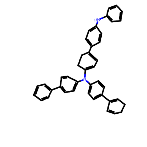 C1=CC(c2ccc(N(C3=CC=C(c4ccc(Nc5ccccc5)cc4)CC3)c3ccc(-c4ccccc4)cc3)cc2)=CCC1